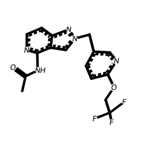 CC(=O)Nc1nccc2nn(Cc3ccc(OCC(F)(F)F)nc3)cc12